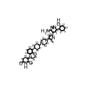 Cc1nn(-c2cc(-c3ccccc3O)nnc2N)cc1N1CCN([C@H]2CC[C@H](c3cccc4c3OCCN4[C@@H]3CCC(=O)NC3=O)CC2)CC1